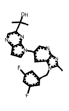 Cc1nc2ncc(-n3ccc4ncc(C(C)(C)O)nc43)cc2n1Cc1cc(F)cc(F)c1